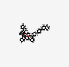 c1ccc(-n2c3ccccc3c3cc(-c4ccccc4N(c4ccc(-c5ccc(-c6ccc7ccccc7c6)cc5)cc4)c4ccc(-c5cccc6c5ccc5ccccc56)cc4)ccc32)cc1